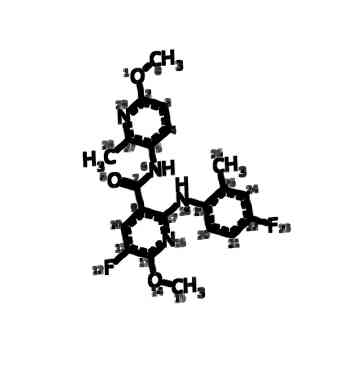 COc1ccc(NC(=O)c2cc(F)c(OC)nc2Nc2ccc(F)cc2C)c(C)n1